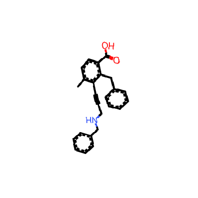 Cc1ccc(C(=O)O)c(Cc2ccccc2)c1C#CCNCc1ccccc1